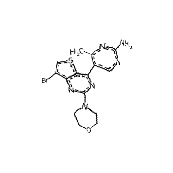 Cc1nc(N)ncc1-c1nc(N2CCOCC2)nc2c(Br)csc12